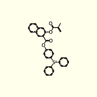 C=C(C)C(=O)Oc1cc2ccccc2cc1C(=O)Oc1ccc([S+](c2ccccc2)c2ccccc2)cc1